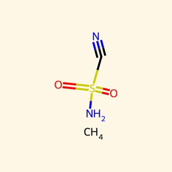 C.N#CS(N)(=O)=O